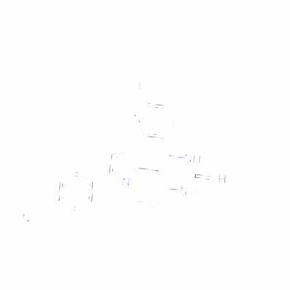 C=C1NC(C)=C(c2nc(-c3ccc(C#N)cc3)cs2)C(c2ccc(F)nc2)N1